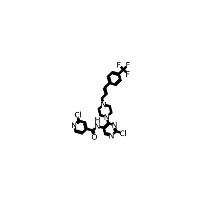 O=C(Nc1cnc(Cl)nc1N1CCN(CC=Cc2ccc(C(F)(F)F)cc2)CC1)c1ccnc(Cl)c1